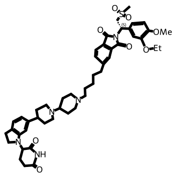 CCOc1cc([C@@H](CS(C)(=O)=O)N2C(=O)c3ccc(CCCCCN4CCC(N5CCC(c6ccc7c(c6)N(C6CCC(=O)NC6=O)CC7)CC5)CC4)cc3C2=O)ccc1OC